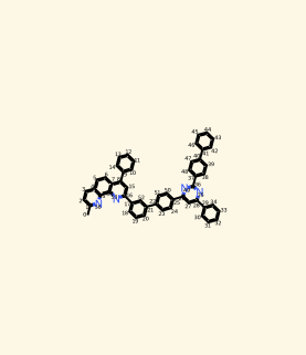 Cc1ccc2ccc3c(-c4ccccc4)cc(-c4cccc(-c5ccc(-c6cc(-c7ccccc7)nc(-c7ccc(-c8ccccc8)cc7)n6)cc5)c4)nc3c2n1